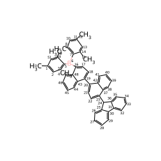 Cc1cc(C)c(B(c2c(C)cc(C)cc2C)c2ccc(-c3ccc(C4c5ccccc5-c5ccccc54)c4ccccc34)c3ccccc23)c(C)c1